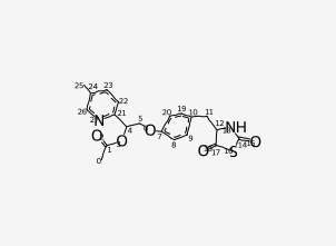 CC(=O)OC(COc1ccc(CC2NC(=O)SC2=O)cc1)c1ccc(C)cn1